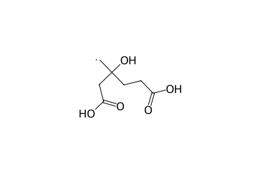 [CH2]C(O)(CCC(=O)O)CC(=O)O